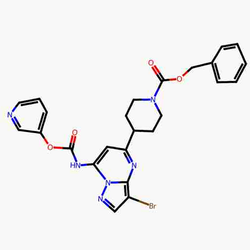 O=C(Nc1cc(C2CCN(C(=O)OCc3ccccc3)CC2)nc2c(Br)cnn12)Oc1cccnc1